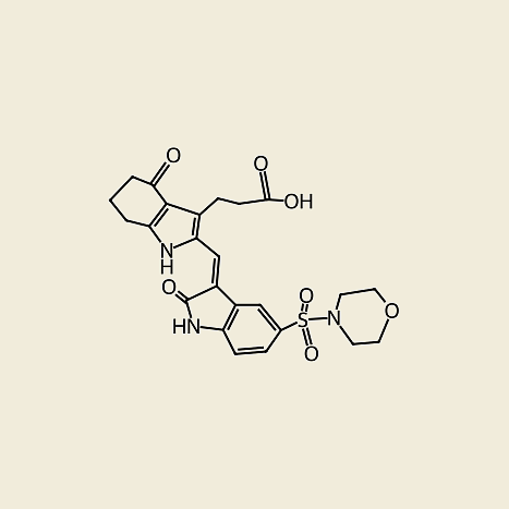 O=C(O)CCc1c(C=C2C(=O)Nc3ccc(S(=O)(=O)N4CCOCC4)cc32)[nH]c2c1C(=O)CCC2